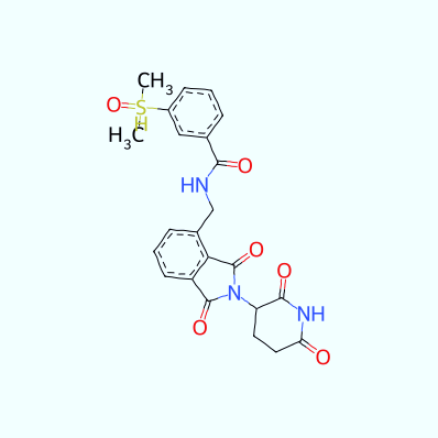 C[SH](C)(=O)c1cccc(C(=O)NCc2cccc3c2C(=O)N(C2CCC(=O)NC2=O)C3=O)c1